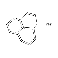 [CH2]CCC1C=Cc2cccc3cccc1c23